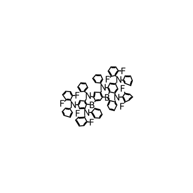 Fc1cccc(F)c1N(c1ccccc1)c1cc2c3c(c1)N(c1c(F)cccc1F)c1ccccc1B3c1cc3c(cc1N2c1ccccc1)N(c1ccccc1)c1cc(N(c2ccccc2)c2c(F)cccc2F)cc2c1B3c1ccccc1N2c1c(F)cccc1F